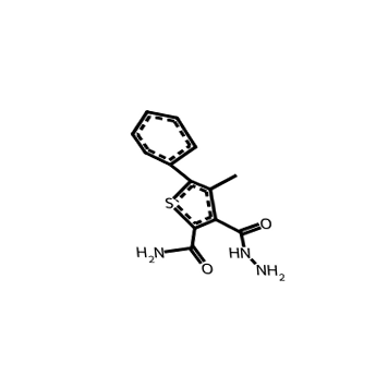 Cc1c(-c2ccccc2)sc(C(N)=O)c1C(=O)NN